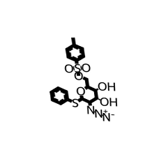 Cc1ccc(S(=O)(=O)OCC2OC(Sc3ccccc3)C(N=[N+]=[N-])[C@@H](O)[C@@H]2O)cc1